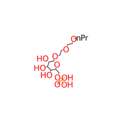 CCCOCCOCCOC1OC(COP(=O)(O)O)C(O)C(O)C1O